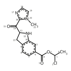 CC(Cl)OC(=O)c1ccc2c(c1)NC(C(=O)c1nccn1C)[CH]2